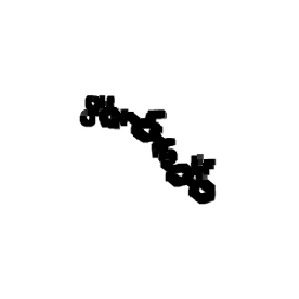 CCc1cc(/C(C)=N/OCc2ccc(-c3ccccc3)c(C(F)(F)F)c2)ccc1CN1CC[C@H](C(=O)O)C1